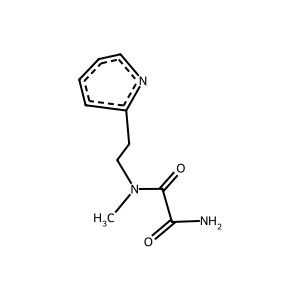 CN(CCc1ccccn1)C(=O)C(N)=O